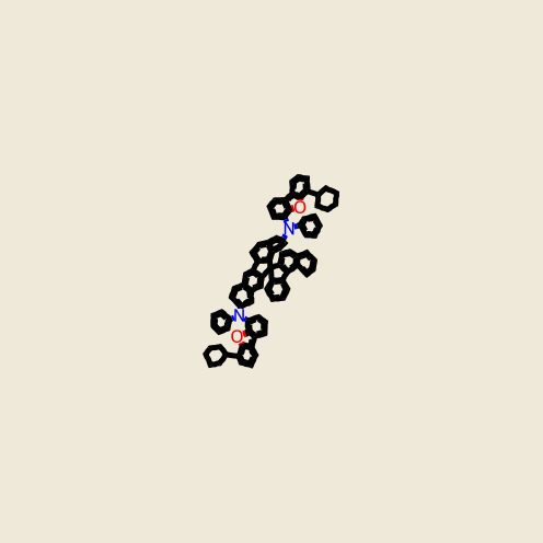 c1ccc(N(c2ccc3cc4c(cc3c2)C2(c3ccccc3-c3c2ccc2ccccc32)c2c-4ccc3cc(N(c4ccccc4)c4cccc5c4oc4c(C6CCCCC6)cccc45)ccc23)c2cccc3c2oc2c(C4CCCCC4)cccc23)cc1